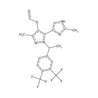 Cc1nc(-c2c(OC=O)c(C)nn2C(C)c2ccc(C(F)(F)F)c(C(F)(F)F)c2)c[nH]1